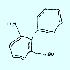 CCCCc1cccc(N)c1-c1ccccc1